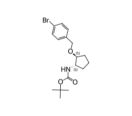 CC(C)(C)OC(=O)N[C@H]1CCC[C@@H]1OCc1ccc(Br)cc1